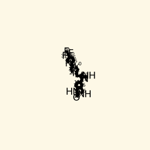 C[C@@H]1CN(Cc2c[nH]nc2-c2ccc3c(c2)CNC(=O)N3)CCN1c1ccc(C(F)(F)F)cn1